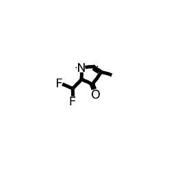 CC1=[C][N]C(C(F)F)C1=O